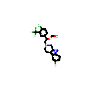 O=COC(CN1CCc2c([nH]c3ccc(Cl)cc23)C1)c1ccc(Cl)c(C(F)(F)F)c1